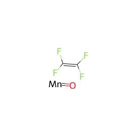 FC(F)=C(F)F.[O]=[Mn]